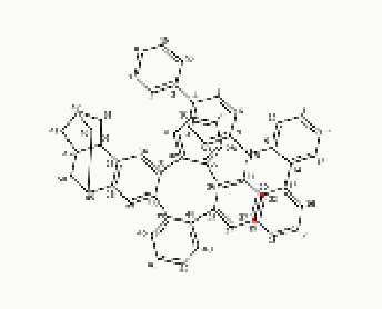 c1ccc(-c2ccc(N(c3ccccc3-c3ccccc3)c3cccc4c3-c3ccccc3-c3cc5c(cc3-c3ccccc3-4)C3CC4CC(C3)C5C4)cc2)cc1